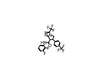 O=C(Nc1cccc(F)c1F)C1c2nnc(C(F)(F)F)n2CC1c1ccc(C(F)(F)F)cc1